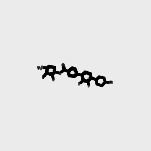 CCCC1CCC(c2ccc(-c3ccc(C(=O)Oc4ccc(C)c(F)c4F)cc3)c(F)c2F)CC1